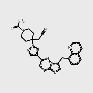 CC(=O)N1CCC(CC#N)(n2cc(-c3cnc4ncc(Cc5cccc6cccnc56)n4n3)cn2)CC1